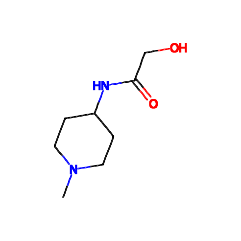 CN1CCC(NC(=O)CO)CC1